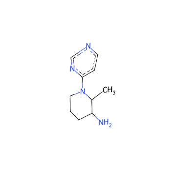 CC1C(N)CCCN1c1ccncn1